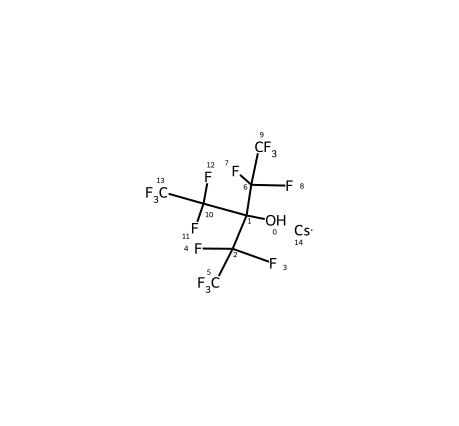 OC(C(F)(F)C(F)(F)F)(C(F)(F)C(F)(F)F)C(F)(F)C(F)(F)F.[Cs]